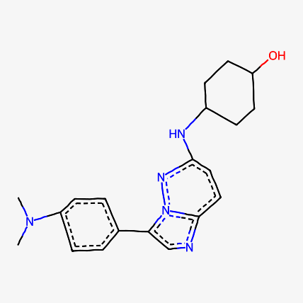 CN(C)c1ccc(-c2cnc3ccc(NC4CCC(O)CC4)nn23)cc1